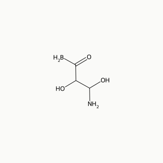 BC(=O)C(O)C(N)O